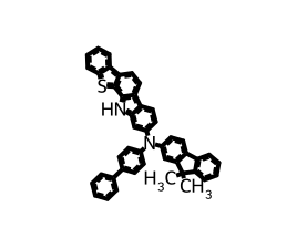 CC1(C)c2ccccc2-c2ccc(N(c3ccc(-c4ccccc4)cc3)c3ccc4c(c3)[nH]c3c4ccc4c5ccccc5sc43)cc21